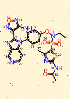 CCN(Oc1ccc(-n2c(-c3nonc3N)nc3cnccc32)cc1)S(=O)(=O)c1sc(NC(C)=O)nc1C